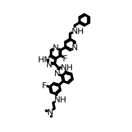 CN(C)CCNc1cc(F)cc(-c2cccc3[nH]c(-c4n[nH]c5cnc(-c6cncc(CNCc7ccccc7)c6)c(F)c45)nc23)c1